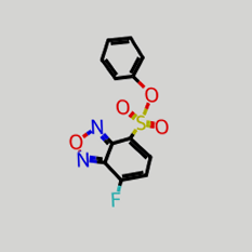 O=S(=O)(Oc1ccccc1)c1ccc(F)c2nonc12